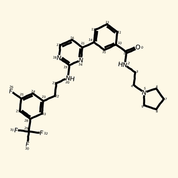 O=C(NCCN1CCCC1)c1cccc(-c2ccnc(NCCc3cc(F)cc(C(F)(F)F)c3)n2)c1